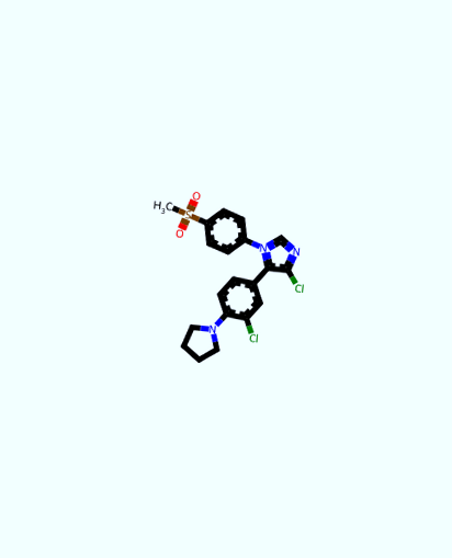 CS(=O)(=O)c1ccc(-n2cnc(Cl)c2-c2ccc(N3CCCC3)c(Cl)c2)cc1